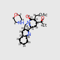 C1COCCN1.CCC(=O)c1cc2n(c(=O)c1COC(C)=O)Cc1cc3ccccc3nc1-2